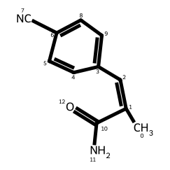 CC(=Cc1ccc(C#N)cc1)C(N)=O